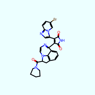 O=C1NC(=O)C(c2cnc3ccc(Br)cn23)=C1C1=NC=CN2c3c(cccc31)CC2C(=O)N1CCCCC1